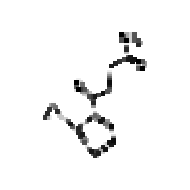 NC(=O)CCC(=O)c1ccccc1C1CC1